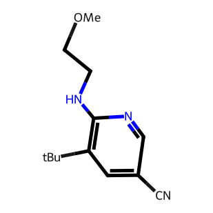 COCCNc1ncc(C#N)cc1C(C)(C)C